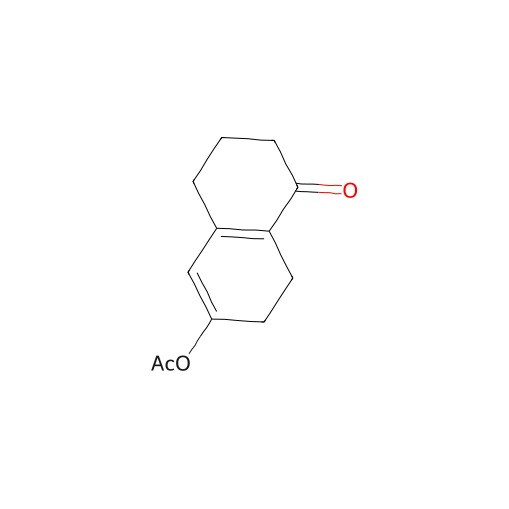 CC(=O)OC1=CC2=C(CC1)C(=O)CCC2